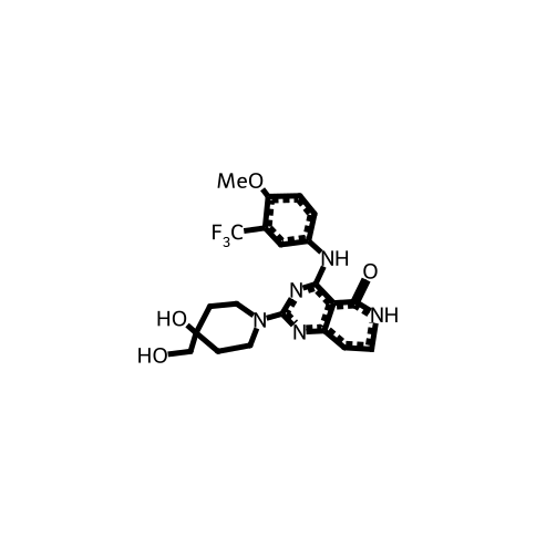 COc1ccc(Nc2nc(N3CCC(O)(CO)CC3)nc3cc[nH]c(=O)c23)cc1C(F)(F)F